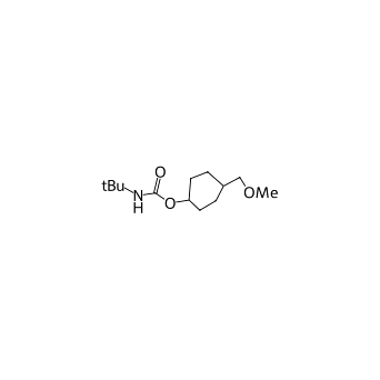 COCC1CCC(OC(=O)NC(C)(C)C)CC1